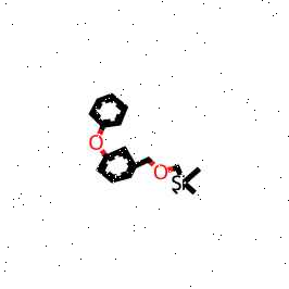 C[Si](C)(C)COCc1cccc(Oc2ccccc2)c1